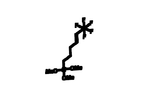 CO[Si](CCCC=CS(F)(F)(F)(F)F)(OC)OC